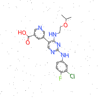 CC(C)OCCNc1nc(Nc2ccc(F)c(Cl)c2)ncc1-c1cncc(C(=O)O)c1